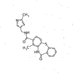 Cc1ncc(CNC(=O)c2ccc3c(c2C)NC(=O)c2ccccc2S3)s1